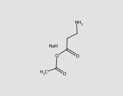 CC(=O)OC(=O)CCN.[NaH]